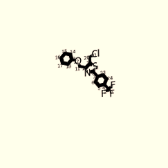 FC(F)(F)c1ccc(-c2nc(COc3ccccc3)c(CCl)s2)cc1